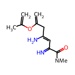 C=C(C)OC(=C)C/C(N)=C/C(=N)C(=O)NC